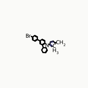 C=C/C=C\C(=C/C)N1c2ccc(-c3ccc(Br)cc3)cc2C2CCC=CC21